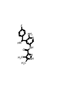 Cc1[nH]nc(C(=O)Nc2cnc(N)c(C(=N)c3ccc(F)cc3)c2)c1C